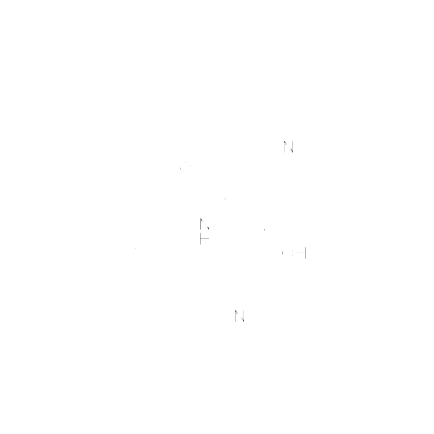 O=C(N[C@H](c1ccccc1)C(O)(c1cccnc1)c1cccnc1)C1CCC1